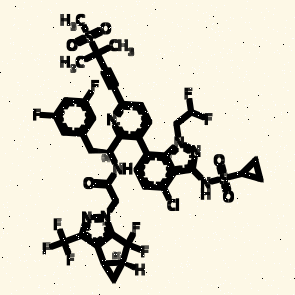 CC(C)(C#Cc1ccc(-c2ccc(Cl)c3c(NS(=O)(=O)C4CC4)nn(CC(F)F)c23)c([C@H](Cc2cc(F)cc(F)c2)NC(=O)Cn2nc(C(F)(F)F)c3c2C(F)(F)[C@@H]2CC32)n1)S(C)(=O)=O